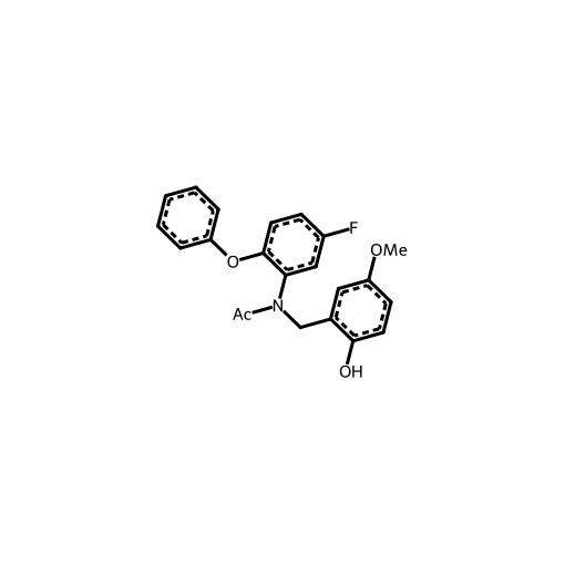 COc1ccc(O)c(CN(C(C)=O)c2cc(F)ccc2Oc2ccccc2)c1